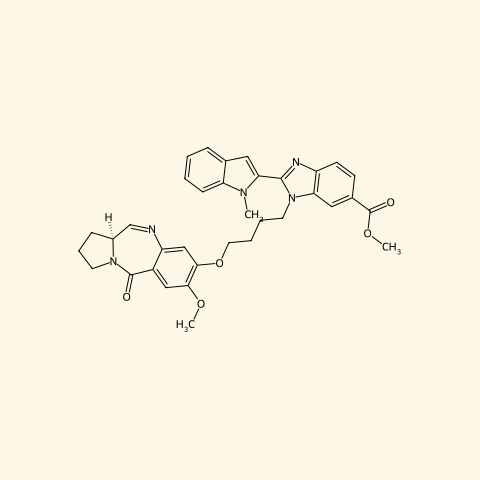 COC(=O)c1ccc2nc(-c3cc4ccccc4n3C)n(CCCCOc3cc4c(cc3OC)C(=O)N3CCC[C@H]3C=N4)c2c1